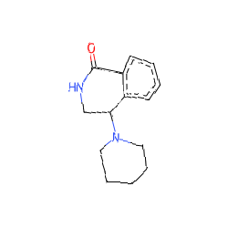 O=C1NCC(N2CCCCC2)c2ccccc21